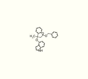 CC(CC(=O)OCc1ccccc1)(Oc1cccc2[nH]ccc12)c1ccccc1